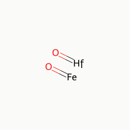 [O]=[Fe].[O]=[Hf]